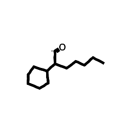 CCCCCC([C]=O)C1CCCCC1